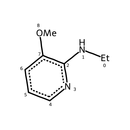 CCNc1ncccc1OC